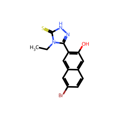 CCn1c(-c2cc3cc(Br)ccc3cc2O)n[nH]c1=S